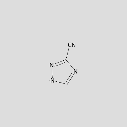 N#CC1=N[N]C=N1